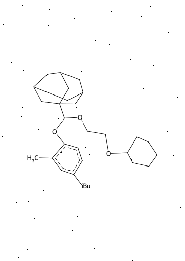 CCC(C)c1ccc(OC(OCCOC2CCCCC2)C23CC4CC(CC(C4)C2)C3)c(C)c1